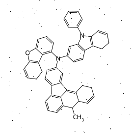 CC1c2cccc3c2C(=C2CCC=CC21)c1cc(N(c2ccc4c5c(n(-c6ccccc6)c4c2)C=CCC5)c2cccc4oc5c(c24)CCC=C5)ccc1-3